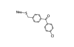 N#CSCc1ccc(C(=O)c2ccc(Cl)cc2)cc1